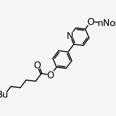 CCCCCCCCCOc1ccc(-c2ccc(OC(=O)CCCCC(C)CC)cc2)nc1